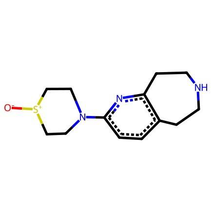 [O-][S+]1CCN(c2ccc3c(n2)CCNCC3)CC1